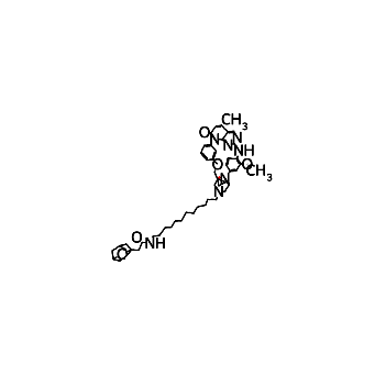 COc1cc(N2CCN(CCCCCCCCCCCCNC(=O)CC34CC5CC(CC3C5)C4)CC2)ccc1Nc1ncc2c(C)cc(=O)n(-c3cccc(OCC4CC4)c3)c2n1